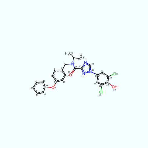 CC(C)N(Cc1ccc(Oc2ccccc2)cc1)C(=O)c1ncn(-c2cc(Cl)c(O)c(Cl)c2)n1